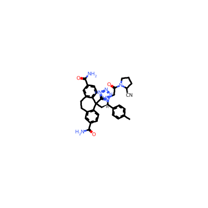 Cc1ccc([C@@H](CC2(c3nnn[nH]3)c3ccc(C(N)=O)cc3CCc3cc(C(N)=O)ccc32)NCC(=O)N2CCCC2C#N)cc1